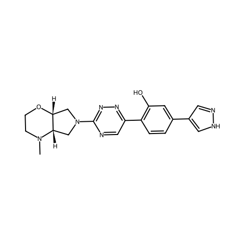 CN1CCO[C@@H]2CN(c3ncc(-c4ccc(-c5cn[nH]c5)cc4O)nn3)C[C@@H]21